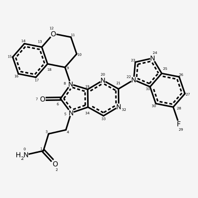 NC(=O)CCn1c(=O)n(C2CCOc3ccccc32)c2nc(-n3cnc4ccc(F)cc43)ncc21